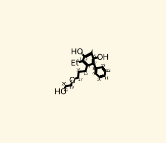 CCc1c(O)cc(O)c(-c2ccccc2)c1CCCOCCO